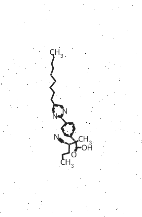 CCCCCCCCCc1cnc(-c2ccc(C(C)(C(=O)O)C(C#N)CCC)cc2)nc1